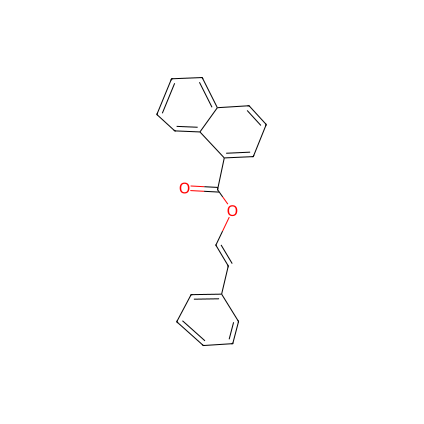 O=C(OC=Cc1ccccc1)c1cccc2ccccc12